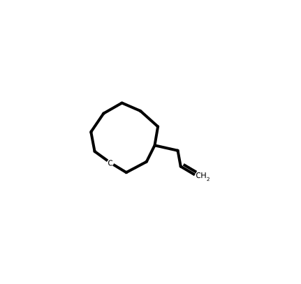 C=CCC1CCCCCCCCC1